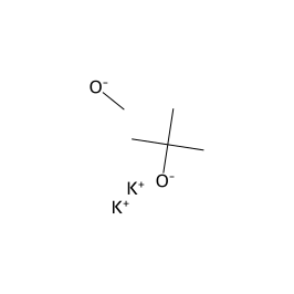 CC(C)(C)[O-].C[O-].[K+].[K+]